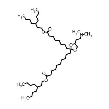 CCCCC(CCCC)CCOC(=O)CCCCCCCCCC1(CCCCCCCC(=O)OCCC(CCCC)CCCC)OCC(CCN(C)C)O1